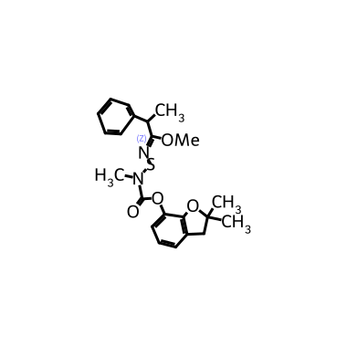 CO/C(=N\SN(C)C(=O)Oc1cccc2c1OC(C)(C)C2)C(C)c1ccccc1